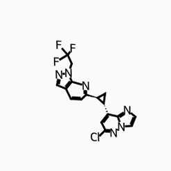 FC(F)(F)Cn1ncc2ccc([C@H]3C[C@@H]3c3cc(Cl)nn4ccnc34)nc21